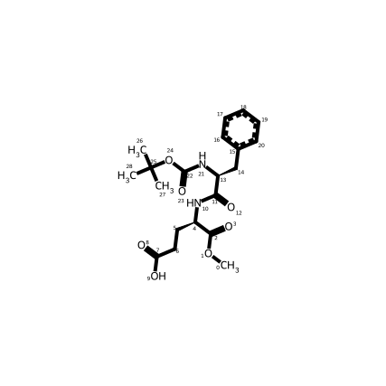 COC(=O)[C@@H](CCC(=O)O)NC(=O)[C@H](Cc1ccccc1)NC(=O)OC(C)(C)C